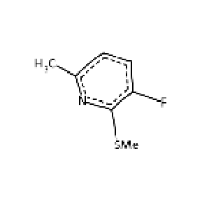 CSc1nc(C)ccc1F